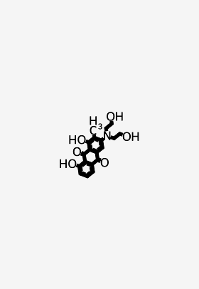 Cc1c(N(CCO)CCO)cc2c(c1O)C(=O)c1c(O)cccc1C2=O